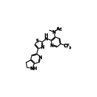 CC(=O)N(C)c1cc(C(F)(F)F)cnc1Nc1nc(-c2cc3c(cn2)NCC3)cs1